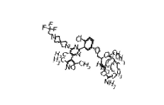 Cc1noc(C)c1-c1nc(-c2cc(OCC(CCOC(N)=O)O[Si](C)(C)C(C)(C)C)ccc2Cl)nc(N2CC3(CN(CC(F)(F)F)C3)C2)c1C